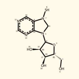 OC[C@H]1OC(N2CN(S)c3cncnc32)[C@H](O)[C@@H]1O